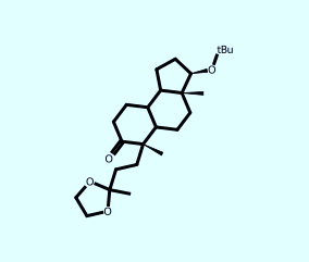 CC(C)(C)O[C@@H]1CCC2C3CCC(=O)[C@@](C)(CCC4(C)OCCO4)C3CC[C@]21C